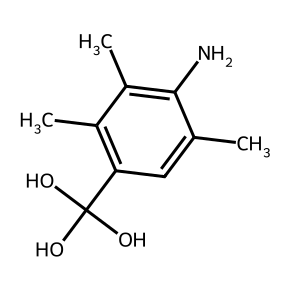 Cc1cc(C(O)(O)O)c(C)c(C)c1N